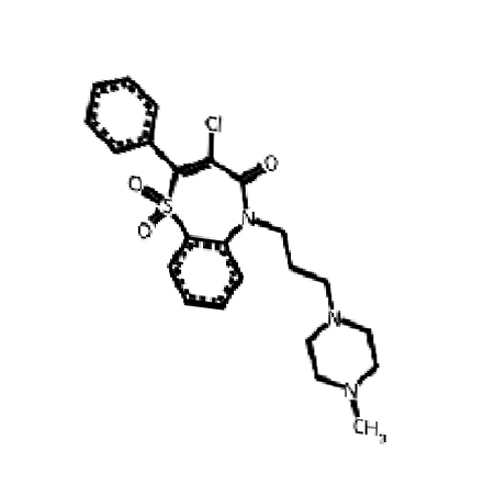 CN1CCN(CCCN2C(=O)C(Cl)=C(c3ccccc3)S(=O)(=O)c3ccccc32)CC1